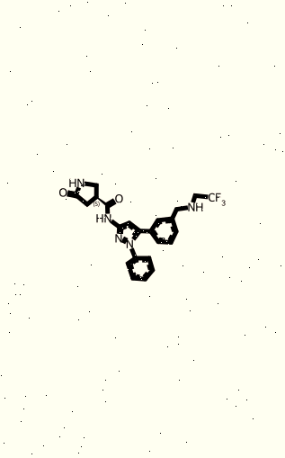 O=C1C[C@H](C(=O)Nc2cc(-c3cccc(CNCC(F)(F)F)c3)n(-c3ccccc3)n2)CN1